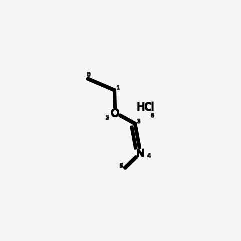 CCO/C=N\C.Cl